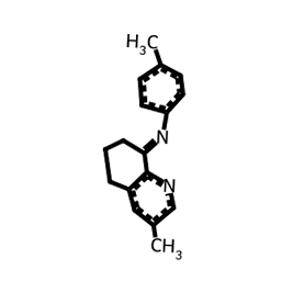 Cc1ccc(N=C2CCCc3cc(C)cnc32)cc1